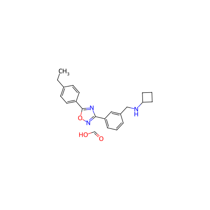 CCc1ccc(-c2nc(-c3cccc(CNC4CCC4)c3)no2)cc1.O=CO